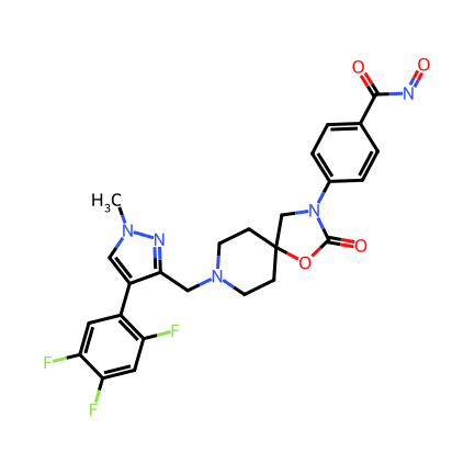 Cn1cc(-c2cc(F)c(F)cc2F)c(CN2CCC3(CC2)CN(c2ccc(C(=O)N=O)cc2)C(=O)O3)n1